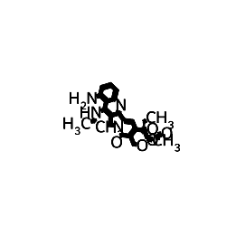 CC[C@@]1(OC(C)=O)C(=O)OCc2c1cc1n(c2=O)Cc2c-1nc1cccc(N)c1c2NC(C)C